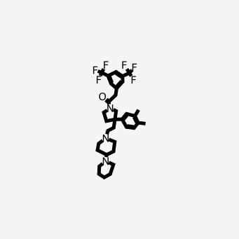 Cc1ccc(C2(CCN3CCC(N4CCCCC4)CC3)CCN(C(=O)Cc3cc(C(F)(F)F)cc(C(F)(F)F)c3)C2)cc1C